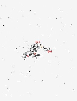 CCC(O)(CC)CCCSC(C)[C@H]1C(O)C[C@H]2C3=CC=C4CC(O[Si](C)(C)C(C)(C)C)CC(O[Si](C)(C)C(C)(C)C)[C@]4(C)[C@H]3CC[C@]12C